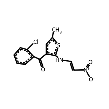 Cc1cc(C(=O)c2ccccc2Cl)c(N/C=C/[N+](=O)[O-])s1